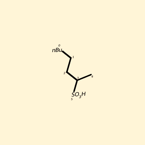 CCCCCCC(C)S(=O)(=O)O